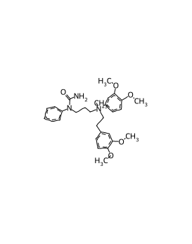 COc1ccc(CC[N+](C)(CCCN(C(N)=O)c2ccccc2)c2ccc(OC)c(OC)c2)cc1OC